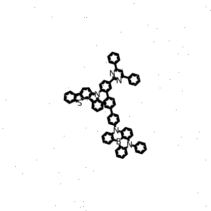 c1ccc(-c2cc(-c3ccccc3)nc(-c3ccc(-n4c5ccccc5c5c6sc7ccccc7c6ccc54)c(-c4ccc(-c5ccc(N6c7ccccc7B7c8ccccc8N(c8ccccc8)c8cccc6c87)cc5)cc4)c3)n2)cc1